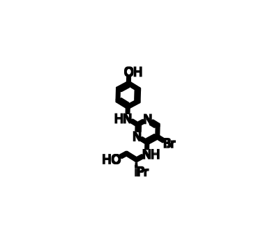 CC(C)[C@H](CO)Nc1nc(Nc2ccc(O)cc2)ncc1Br